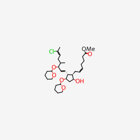 COC(=O)CCC/C=C\C[C@@H]1[C@@H](/C=C/[C@@H](OC2CCCCO2)C(C)C/C=C(/C)Cl)[C@H](OC2CCCCO2)C[C@@H]1O